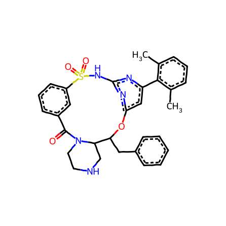 Cc1cccc(C)c1-c1cc2nc(n1)NS(=O)(=O)c1cccc(c1)C(=O)N1CCNCC1C(Cc1ccccc1)O2